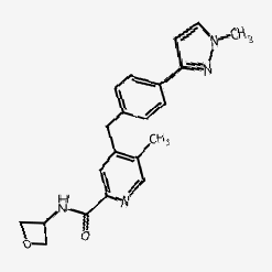 Cc1cnc(C(=O)NC2COC2)cc1Cc1ccc(-c2ccn(C)n2)cc1